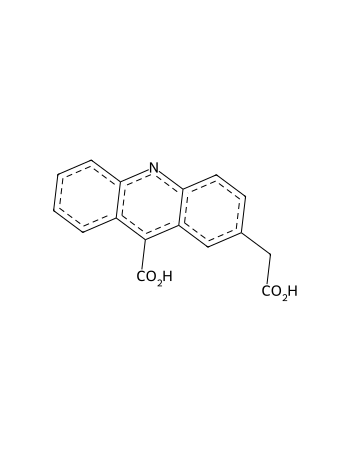 O=C(O)Cc1ccc2nc3ccccc3c(C(=O)O)c2c1